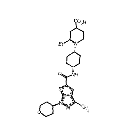 CCC1CC(C(=O)O)CCN1[C@H]1CC[C@H](NC(=O)c2cc3c(C)nn(C4CCOCC4)c3s2)CC1